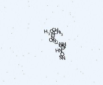 CC(C)(C)N1CCN(C(=O)N2CC=C(c3cc4c(Nc5ccc6ncsc6c5)ccnc4[nH]3)CC2)CC1